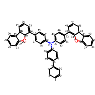 C1=CCCC(c2ccc(N(c3ccc(C4=CC=CC5c6ccccc6OC45)cc3)c3ccc(C4=C5Oc6ccccc6C5CC=C4)cc3)cc2)=C1